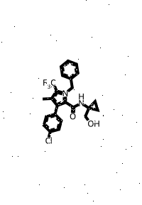 Cc1c(-c2ccc(Cl)cc2)c(C(=O)NC2(CO)CC2)n(Cc2ccccc2)c1C(F)(F)F